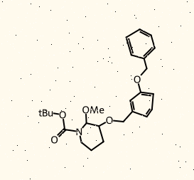 COC1C(OCc2cccc(OCc3ccccc3)c2)CCCN1C(=O)OC(C)(C)C